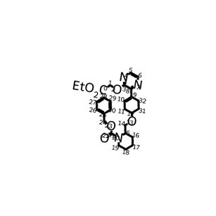 CCOC(=O)COc1nccnc1C1=CCC(OCC2CCCCN2C(=O)OCc2ccccc2)CC1